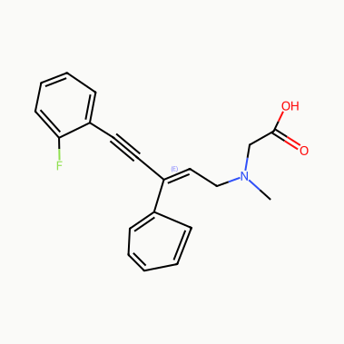 CN(C/C=C(/C#Cc1ccccc1F)c1ccccc1)CC(=O)O